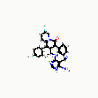 C[C@@H](Nc1ncnc(N)c1C#N)c1c(-c2ccccc2)c(=O)n2cc(F)ccc2c1-c1ccc(F)cc1